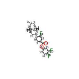 C[C@H]1CC[C@@H]2CC(c3ccc(C(=O)Oc4ccc(F)c(F)c4)cc3F)CC[C@H]2C1